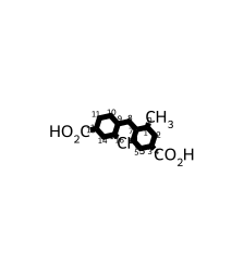 CC1CC(C(=O)O)CCC1CC1CCC(C(=O)O)CC1C